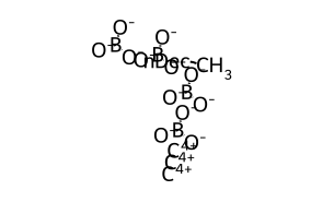 CCCCCCCCCCC.[C+4].[C+4].[C+4].[O-]B([O-])[O-].[O-]B([O-])[O-].[O-]B([O-])[O-].[O-]B([O-])[O-]